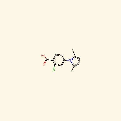 Cc1ccc(C)n1-c1ccc(C(=O)O)c(Cl)c1